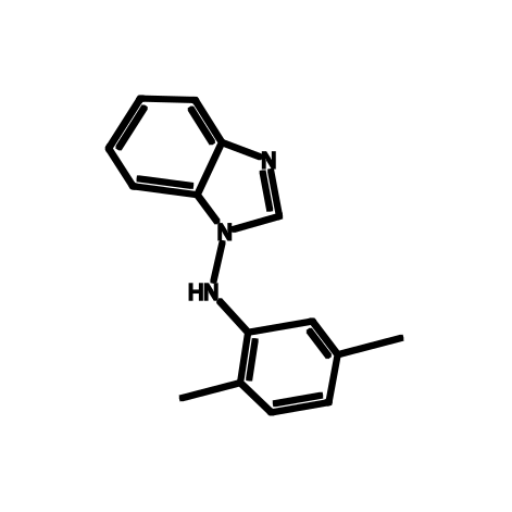 Cc1ccc(C)c(Nn2cnc3ccccc32)c1